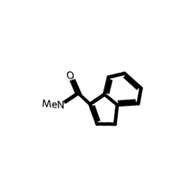 CNC(=O)C1=CCc2ccccc21